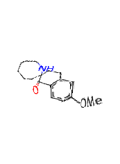 COc1ccc2c(c1)CCC1(CCCCCN1)C2=O